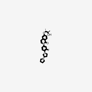 C[C@@H](O)[C@@H](C)Oc1ccc2c(=O)n(-c3ccc(N4CC[C@@H](N5CCCC5)C4)c(F)c3)ccc2c1